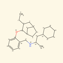 CCC1CC2CCC(C2)C1Oc1ccccc1CNC(C)CC1CCCCC1